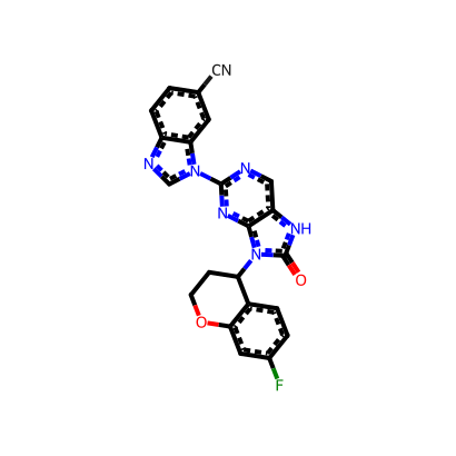 N#Cc1ccc2ncn(-c3ncc4[nH]c(=O)n(C5CCOc6cc(F)ccc65)c4n3)c2c1